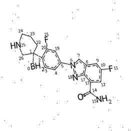 BC1(c2ccc(-n3cc4cc(F)cc(C(N)=O)c4n3)cc2F)CCCNC1